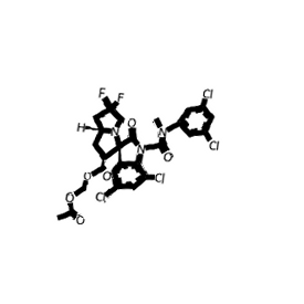 CC(=O)OCOC(=O)[C@H]1C[C@@H]2CC(F)(F)CN2[C@]12C(=O)N(C(=O)N(C)c1cc(Cl)cc(Cl)c1)c1c(Cl)cc(Cl)cc12